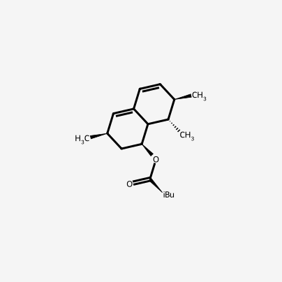 CC[C@H](C)C(=O)O[C@H]1C[C@@H](C)C=C2C=C[C@@H](C)[C@H](C)C21